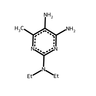 CCN(CC)c1nc(C)c(N)c(N)n1